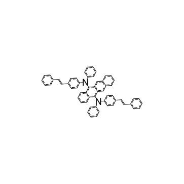 C(=Cc1ccc(N(c2ccccc2)c2c3ccccc3c(N(c3ccccc3)c3ccc(C=Cc4ccccc4)cc3)c3cc4ccccc4cc23)cc1)c1ccccc1